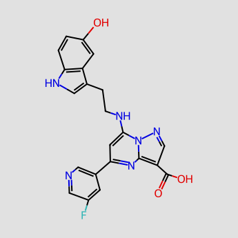 O=C(O)c1cnn2c(NCCc3c[nH]c4ccc(O)cc34)cc(-c3cncc(F)c3)nc12